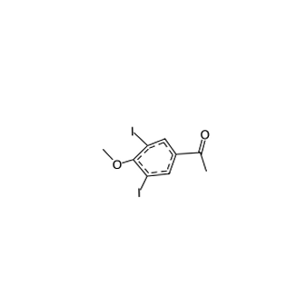 COc1c(I)cc(C(C)=O)cc1I